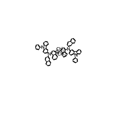 C[Si](C)(c1ccc(N(c2ccc3ccccc3c2)c2ccc3c(c2)c2ccccc2n3-c2ccccc2)c2ccccc12)c1ccc(N(c2ccc3ccccc3c2)c2ccc3c(c2)c2ccccc2n3-c2ccccc2)c2ccccc12